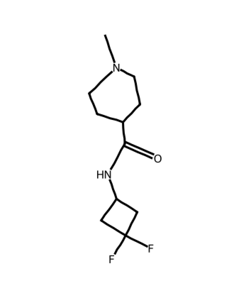 CN1CCC(C(=O)NC2CC(F)(F)C2)CC1